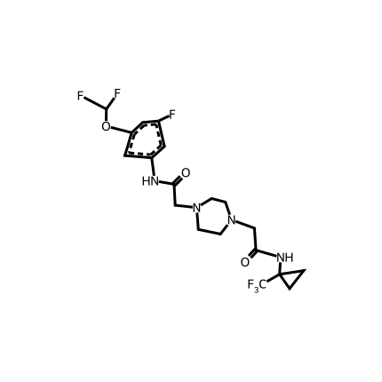 O=C(CN1CCN(CC(=O)NC2(C(F)(F)F)CC2)CC1)Nc1cc(F)cc(OC(F)F)c1